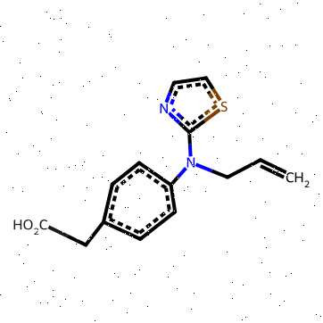 C=CCN(c1ccc(CC(=O)O)cc1)c1nccs1